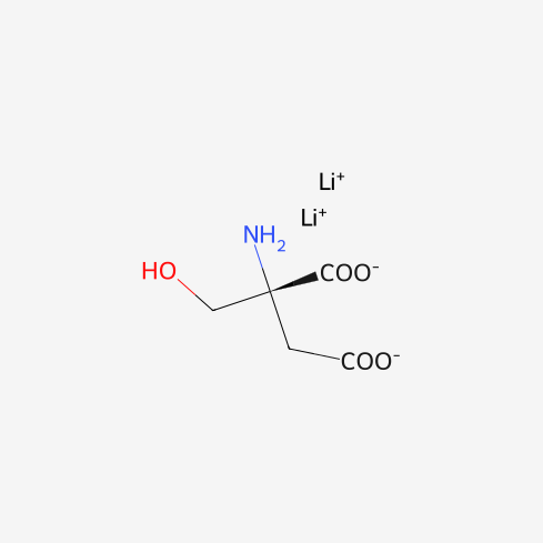 N[C@@](CO)(CC(=O)[O-])C(=O)[O-].[Li+].[Li+]